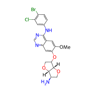 COc1cc2c(Nc3ccc(Br)c(Cl)c3)ncnc2cc1OC1CO[C@H]2[C@H](N)CO[C@@H]12